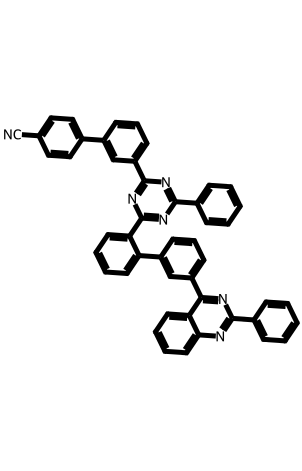 N#Cc1ccc(-c2cccc(-c3nc(-c4ccccc4)nc(-c4ccccc4-c4cccc(-c5nc(-c6ccccc6)nc6ccccc56)c4)n3)c2)cc1